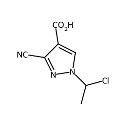 CC(Cl)n1cc(C(=O)O)c(C#N)n1